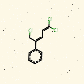 ClCC(=CC=C(Cl)Cl)c1ccccc1